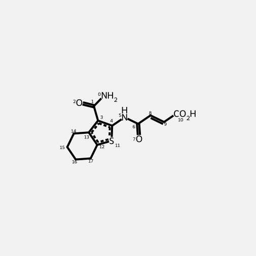 NC(=O)c1c(NC(=O)/C=C/C(=O)O)sc2c1CCCC2